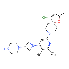 CC1C=C(Cl)C2(CCN(c3cc(N4CC(N5CCNCC5)C4)c(C#N)c(C(F)(F)F)n3)CC2)O1